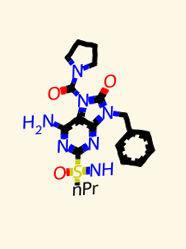 CCCS(=N)(=O)c1nc(N)c2c(n1)n(Cc1ccccc1)c(=O)n2C(=O)N1CCCC1